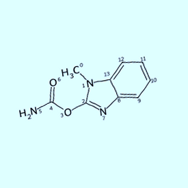 Cn1c(OC(N)=O)nc2ccccc21